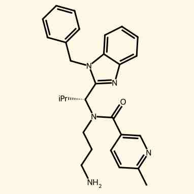 Cc1ccc(C(=O)N(CCCN)[C@@H](c2nc3ccccc3n2Cc2ccccc2)C(C)C)cn1